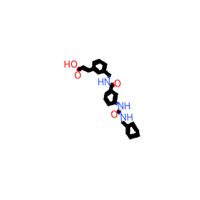 O=C(O)C=Cc1cccc(CNC(=O)c2cccc(NC(=O)NCc3ccccc3)c2)c1